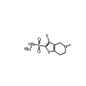 CN1CCc2sc(S(=O)(=O)NC(C)(C)C)c(F)c2C1